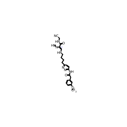 N#CCNC(=O)/C(=C/NCCCCc1ccc(NC(=O)Cc2cccc(OC(F)(F)F)c2)nn1)N=N